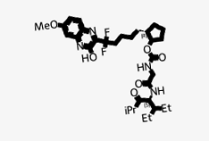 CCC(CC)[C@H](NC(=O)CNC(=O)OC1CCC[C@H]1CCCCC(F)(F)c1nc2ccc(OC)cc2nc1O)C(=O)C(C)C